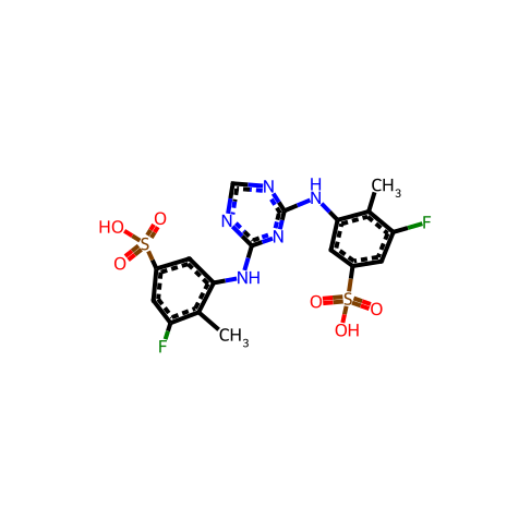 Cc1c(F)cc(S(=O)(=O)O)cc1Nc1ncnc(Nc2cc(S(=O)(=O)O)cc(F)c2C)n1